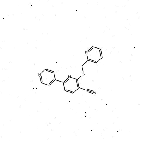 N#Cc1ccc(-c2ccncc2)nc1SCc1ccccn1